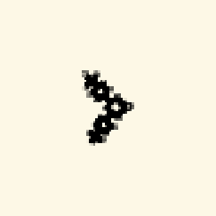 CC(C)(C)c1ccc(C2CC(c3ccc(C(C)(C)C)cc3)CC3OC3C2)cc1